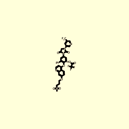 CC(C)c1cc(N2C(=O)CN(c3cncc(C(F)(F)F)c3)C2=O)ccc1Oc1ccnc2cc(OCCCS(C)(=O)=O)ccc12.O=C(O)C(F)(F)F